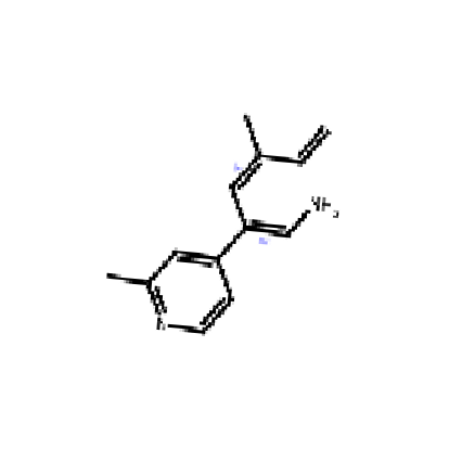 C=C/C(C)=C\C(=C/N)c1ccnc(C)c1